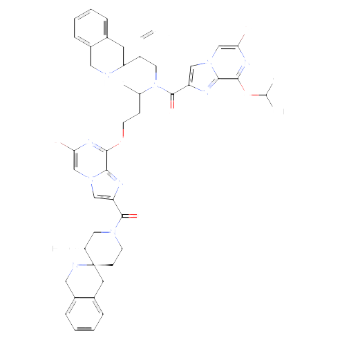 C=C[C@@H]1CN(C(=O)c2cn3cc(Br)nc(OC(C)C)c3n2)C(CCOc2nc(Br)cn3cc(C(=O)N4CC[C@]5(Cc6ccccc6CN5)[C@H](C)C4)nc23)C[C@]12Cc1ccccc1CN2